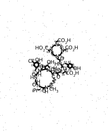 CC(C)C[C@@H]1NC(=O)CNC(=O)[C@H](Cc2ccc(O)c(Cl)c2)NC(=O)[C@@H]2C[C@@H](O)CN2C(=O)[C@@H](NC(=O)[C@@H](CCC(=O)O)NC(=O)[C@H](Cc2ccc(O)cc2)NC(=O)CN2CCN(CC(=O)O)CCN(CC(=O)O)CCN(CC(=O)O)CC2)CSSC[C@@H](C)NC1=O